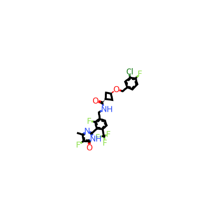 Cc1nc(-c2c(C(F)(F)F)ccc(CNC(=O)[C@H]3C[C@H](OCc4ccc(F)c(Cl)c4)C3)c2F)[nH]c(=O)c1F